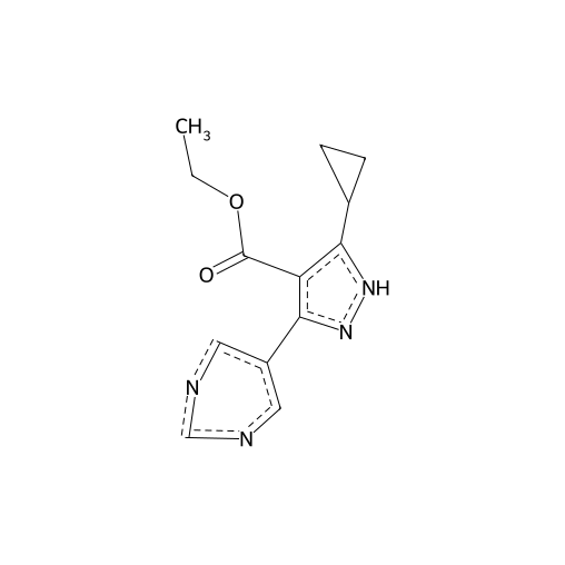 CCOC(=O)c1c(-c2cncnc2)n[nH]c1C1CC1